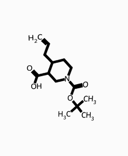 C=CCC1CCN(C(=O)OC(C)(C)C)CC1C(=O)O